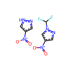 O=[N+]([O-])c1cn[nH]c1.O=[N+]([O-])c1cnn(C(F)F)c1